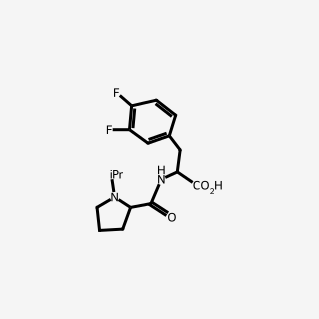 CC(C)N1CCCC1C(=O)NC(Cc1ccc(F)c(F)c1)C(=O)O